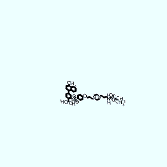 Cc1ccc(-c2ccc(C(=O)O)c(NS(=O)(=O)c3ccc(OCCCN4CCN(CCCNC(=O)OC(C)(C)C)CC4)cc3)c2)c2ccccc12